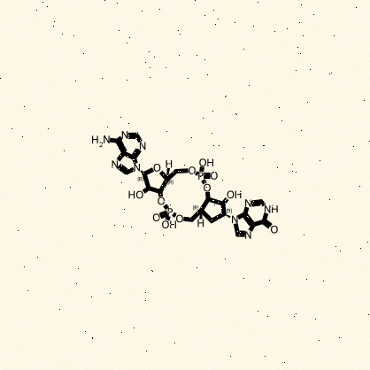 Nc1ncnc2c1ncn2[C@@H]1O[C@@H]2COP(=O)(O)OC3C(O)[C@H](n4cnc5c(=O)[nH]cnc54)C[C@@H]3COP(=O)(O)OC2C1O